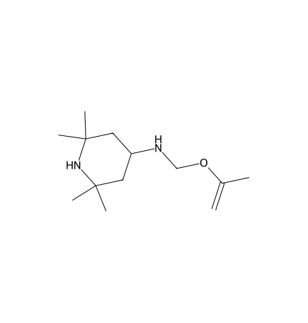 C=C(C)OCNC1CC(C)(C)NC(C)(C)C1